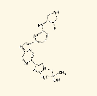 CC(C)(O)Cn1cc(-c2cn3c(-c4cccc(N[C@H]5CNC[C@@H]5F)n4)cnc3cn2)cn1